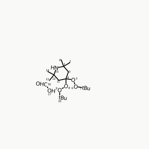 CC1(C)CC(OOC(C)(C)C)(OOC(C)(C)C)CC(C)(C)N1.O=CO